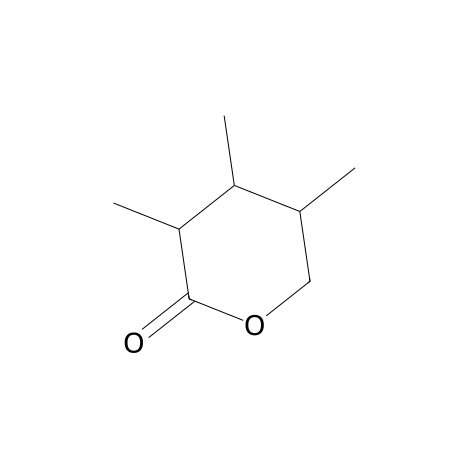 CC1COC(=O)C(C)C1C